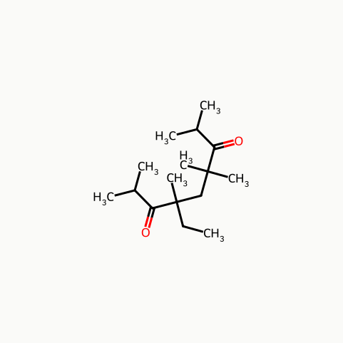 CCC(C)(CC(C)(C)C(=O)C(C)C)C(=O)C(C)C